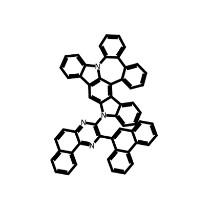 c1ccc2c(c1)-c1ccccc1-n1c3ccccc3c3cc4c(c-2c31)c1ccccc1n4-c1nc2ccc3ccccc3c2nc1-c1cc2ccccc2c2ccccc12